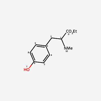 CCOC(=O)C(Cc1ccc(O)cc1)NC